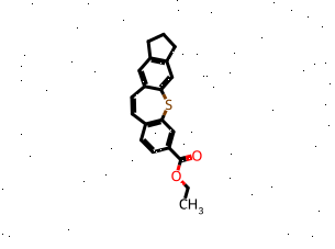 CCOC(=O)c1ccc2c(c1)Sc1cc3c(cc1C=C2)CCC3